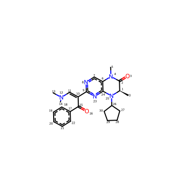 C[C@@H]1C(=O)N(C)c2cnc(/C(=C/N(C)C)C(=O)c3ccccc3)nc2N1C1CCCC1